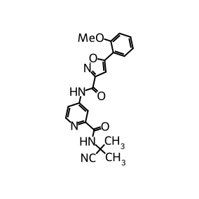 COc1ccccc1-c1cc(C(=O)Nc2ccnc(C(=O)NC(C)(C)C#N)c2)no1